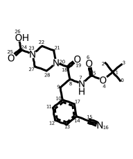 CC(C)(C)OC(=O)NC(Cc1cccc(C#N)c1)C(=O)N1CCN(C(=O)O)CC1